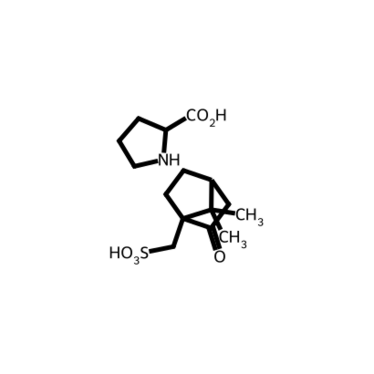 CC1(C)C2CCC1(CS(=O)(=O)O)C(=O)C2.O=C(O)C1CCCN1